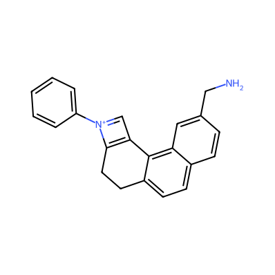 NCc1ccc2ccc3c(c2c1)C1=C(CC3)[N+](c2ccccc2)=C1